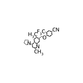 Cc1cc(N2CCCC2)c2cc(C)c(COc3ccc(C#N)cc3C(F)(F)F)cc2n1